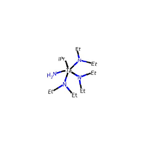 CC[N](CC)[Ta]([NH2])([CH](C)C)([N](CC)CC)[N](CC)CC